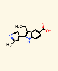 CCc1c(-c2ccnc(C)c2)[nH]c2ccc(C(=O)O)cc12